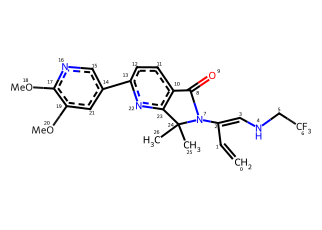 C=C/C(=C\NCC(F)(F)F)N1C(=O)c2ccc(-c3cnc(OC)c(OC)c3)nc2C1(C)C